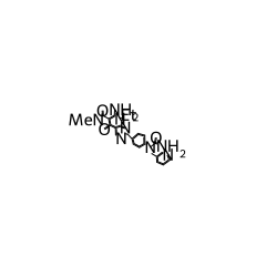 CCn1c(N)c(C(=O)NC)c(=O)c2cnc(-c3ccc(N(Cc4cccnc4)C(N)=O)cc3)nc21